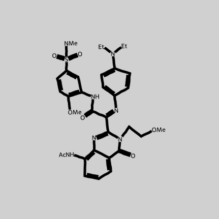 CCN(CC)c1ccc(/N=C(\C(=O)Nc2cc(S(=O)(=O)NC)ccc2OC)c2nc3c(NC(C)=O)cccc3c(=O)n2CCOC)cc1